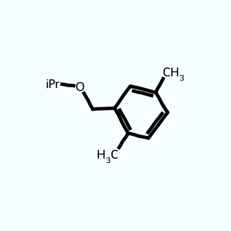 Cc1ccc(C)c(COC(C)C)c1